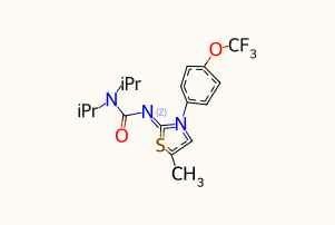 Cc1cn(-c2ccc(OC(F)(F)F)cc2)/c(=N/C(=O)N(C(C)C)C(C)C)s1